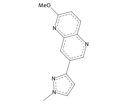 COc1ccc2ncc(-c3ccn(C)n3)cc2n1